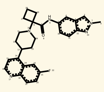 Cn1cc2cc(NC(=O)C3(N4CCC(c5ccnc6ccc(F)cc56)CC4)CCC3)ccc2n1